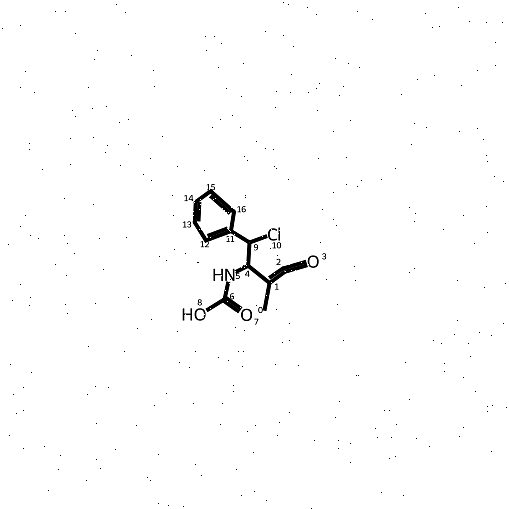 CC(=C=O)C(NC(=O)O)C(Cl)c1ccccc1